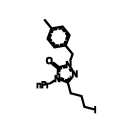 CCCn1c(CCCI)nn(Cc2ccc(C)cc2)c1=O